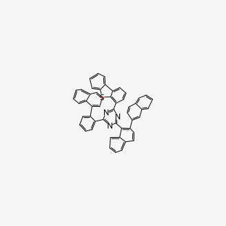 c1ccc(-c2cccc3ccccc23)c(-c2nc(-c3c(-c4ccc5ccccc5c4)ccc4ccccc34)nc(-c3cccc4c3sc3ccccc34)n2)c1